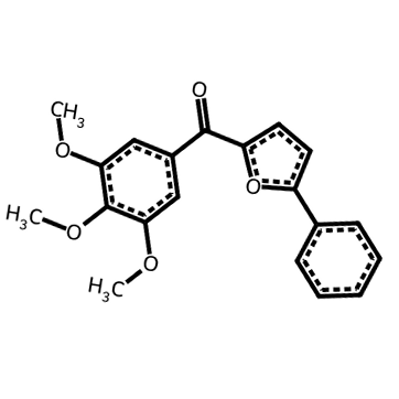 COc1cc(C(=O)c2ccc(-c3ccccc3)o2)cc(OC)c1OC